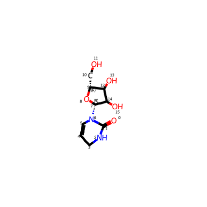 O=C1NCC=CN1[C@@H]1O[C@H](CO)C(O)C1O